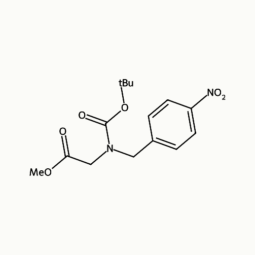 COC(=O)CN(Cc1ccc([N+](=O)[O-])cc1)C(=O)OC(C)(C)C